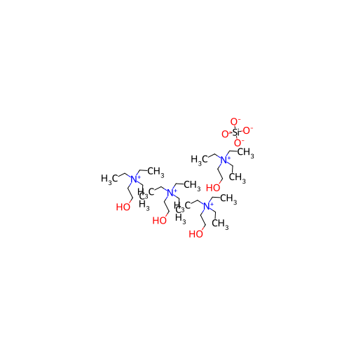 CC[N+](CC)(CC)CCO.CC[N+](CC)(CC)CCO.CC[N+](CC)(CC)CCO.CC[N+](CC)(CC)CCO.[O-][Si]([O-])([O-])[O-]